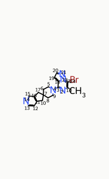 Cc1nc(N2CCC3(CC2)Cc2ccncc2C3)c2ccnn2c1Br